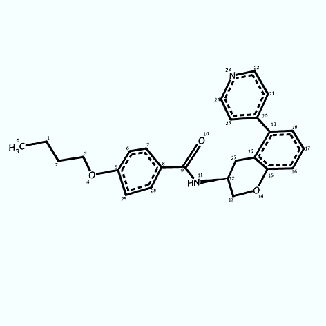 CCCCOc1ccc(C(=O)N[C@@H]2COc3cccc(-c4ccncc4)c3C2)cc1